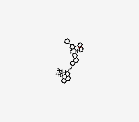 [2H]C([2H])([2H])C1(C)c2cccc3ccc4cc(/C=C/c5ccc6c(ccc7cc(N(c8ccccc8)c8c(F)cc(-c9ccccc9)cc8-c8ccccc8)ccc76)c5)cc1c4c23